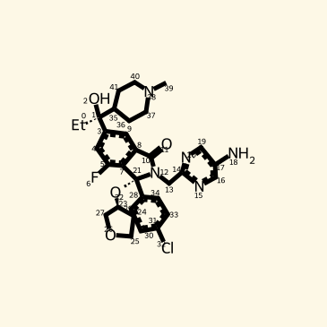 CC[C@@](O)(c1cc(F)c2c(c1)C(=O)N(Cc1ncc(N)cn1)[C@@]2(O[C@H]1CCOC1)c1ccc(Cl)cc1)C1CCN(C)CC1